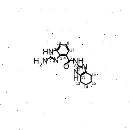 Nc1nc2c(C(=O)Nc3nc4c([nH]3)CCCC4)cccc2[nH]1